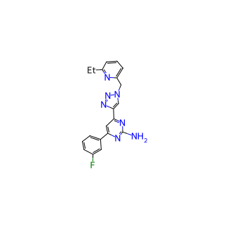 CCc1cccc(Cn2cc(-c3cc(-c4cccc(F)c4)nc(N)n3)nn2)n1